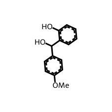 COc1ccc(C(O)c2ccccc2O)cc1